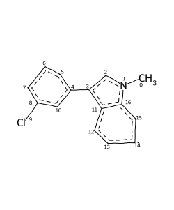 Cn1cc(-c2cccc(Cl)c2)c2cc[c]cc21